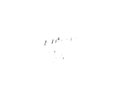 C[N+](C)(C)C(CCC[NH][GeH3])C(=O)[O-]